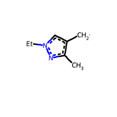 [CH2]c1cn(CC)nc1C